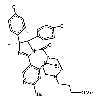 CCOc1cc(C(C)(C)C)ncc1C1=N[C@@](C)(c2ccc(Cl)cc2)[C@@](C)(c2ccc(Cl)cc2)N1C(=O)N1CCN(CCCOC)CC1